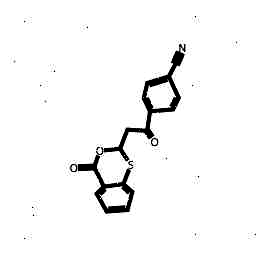 N#Cc1ccc(C(=O)CC2OC(=O)c3ccccc3S2)cc1